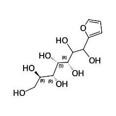 OC[C@@H](O)[C@@H](O)[C@H](O)[C@@H](O)C(O)C(O)c1ccco1